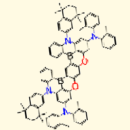 Cc1ccccc1N(c1cc2c3c(c1)N(c1ccc4c(c1)C(C)(C)CCC4(C)C)c1ccccc1B3c1cc3c(cc1O2)Oc1cc(N(c2ccccc2C)c2ccccc2C)cc2c1B3c1ccccc1N2c1ccc2c(c1)C(C)(C)CCC2(C)C)c1ccccc1C